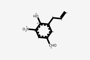 C=CCc1cc(C=O)cc([N+](=O)[O-])c1O